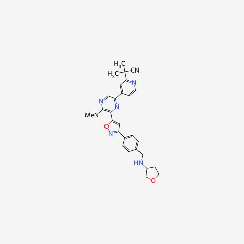 CNc1ncc(-c2ccnc(C(C)(C)C#N)c2)nc1-c1cc(-c2ccc(CNC3CCOC3)cc2)no1